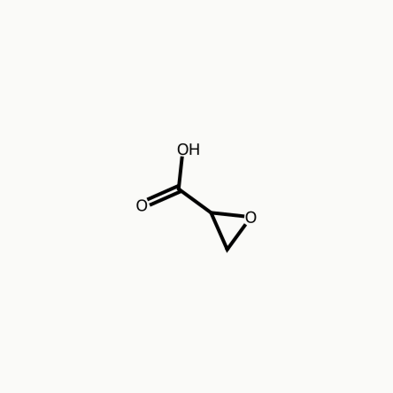 O=C(O)C1CO1